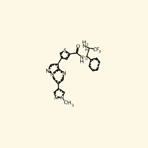 Cn1cc(-c2cnc3c(-c4csc(C(=O)N[C@@H](c5ccccc5)[C@@H](N)C(F)(F)F)c4)cnn3c2)cn1